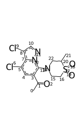 CC(=O)c1cc(Cl)c2c(Cl)cnn2c1N1CCS(=O)(=O)C(C)C1